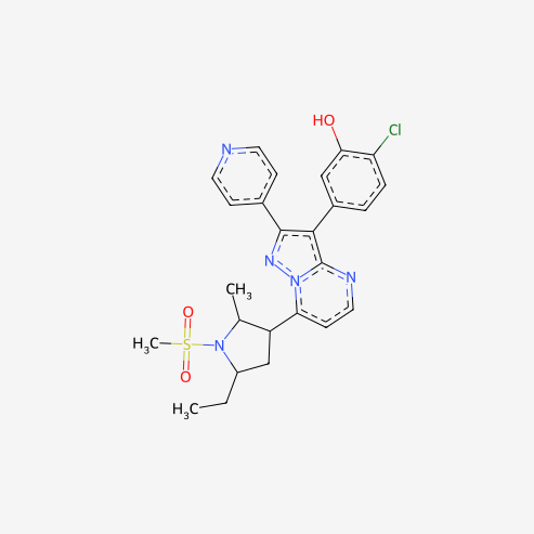 CCC1CC(c2ccnc3c(-c4ccc(Cl)c(O)c4)c(-c4ccncc4)nn23)C(C)N1S(C)(=O)=O